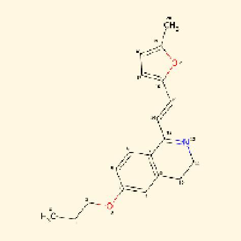 CCCOc1ccc2c(c1)CCN=C2C=Cc1ccc(C)o1